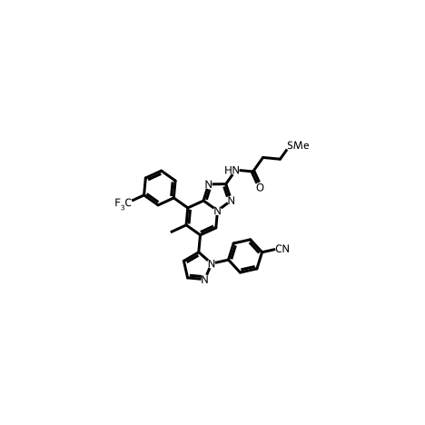 CSCCC(=O)Nc1nc2c(-c3cccc(C(F)(F)F)c3)c(C)c(-c3ccnn3-c3ccc(C#N)cc3)cn2n1